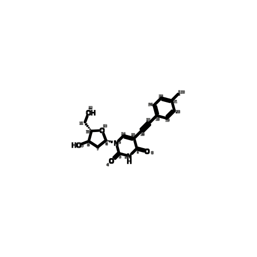 O=c1[nH]c(=O)n([C@@H]2CC(O)[C@H](CO)O2)cc1C#Cc1ccc(I)cc1